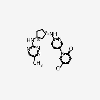 Cc1cnc(N[C@H]2CC[C@H](Nc3ccc(-n4cc(Cl)ccc4=O)cn3)C2)nn1